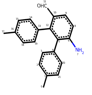 Cc1ccc(-c2c(N)ccc(C=O)c2-c2ccc(C)cc2)cc1